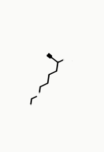 C#CC(C)CCCCSC[CH2]